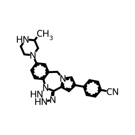 CC1CN(c2ccc3c(c2)Cn2cc(-c4ccc(C#N)cc4)cc2C2=NNNN23)CCN1